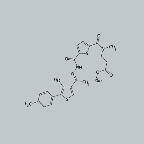 CC(=NNC(=O)c1ccc(C(=O)N(C)CCC(=O)OC(C)(C)C)s1)c1csc(-c2ccc(C(F)(F)F)cc2)c1O